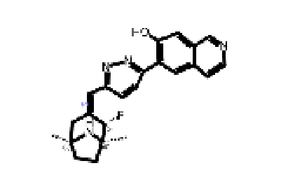 C[C@@]12CC[C@@](C)(N1)[C@@H](F)/C(=C\c1ccc(-c3cc4ccncc4cc3O)nn1)C2